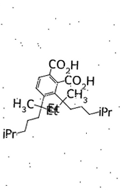 CCC(C)(CCCC(C)C)c1ccc(C(=O)O)c(C(=O)O)c1C(C)(CC)CCCC(C)C